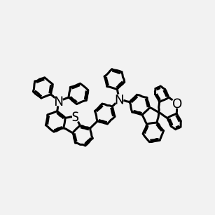 c1ccc(N(c2ccc(-c3cccc4c3sc3c(N(c5ccccc5)c5ccccc5)cccc34)cc2)c2ccc3c(c2)-c2ccccc2C32c3ccccc3Oc3ccccc32)cc1